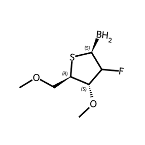 B[C@@H]1S[C@H](COC)[C@@H](OC)C1F